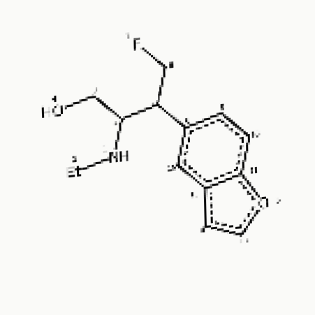 CCNC(CO)C(CF)c1ccc2occc2c1